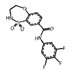 O=C(Nc1cc(F)c(F)c(F)c1)c1ccc2c(c1)S(=O)(=O)NCCO2